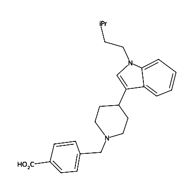 CC(C)CCn1cc(C2CCN(Cc3ccc(C(=O)O)cc3)CC2)c2ccccc21